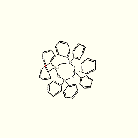 c1ccc([Si]2(c3ccccc3)O[Si](c3ccccc3)(c3ccccc3)[O][Sn]([c]3ccccc3)([c]3ccccc3)[CH2][Sn]([c]3ccccc3)([c]3ccccc3)[O]2)cc1